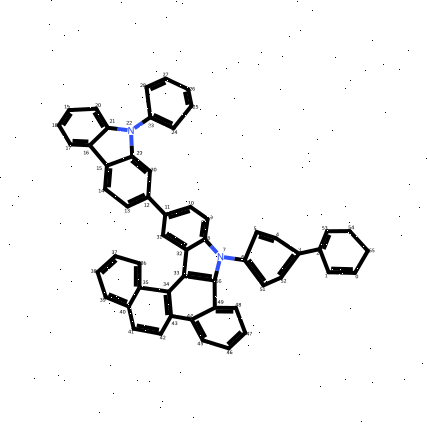 C1=CC(c2ccc(-n3c4ccc(-c5ccc6c7ccccc7n(-c7ccccc7)c6c5)cc4c4c5c6ccccc6ccc5c5ccccc5c43)cc2)=CCC1